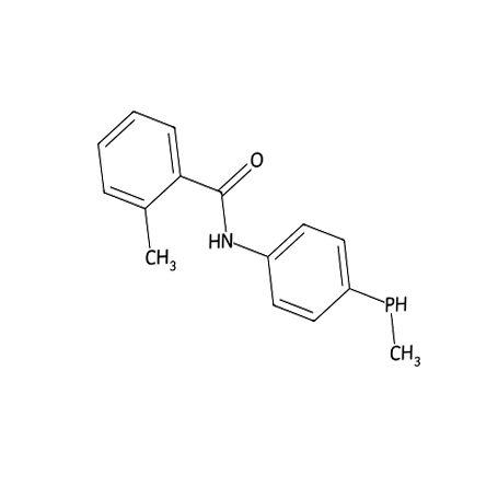 CPc1ccc(NC(=O)c2ccccc2C)cc1